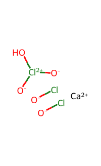 [Ca+2].[O-]Cl.[O-]Cl.[O-][Cl+2]([O-])O